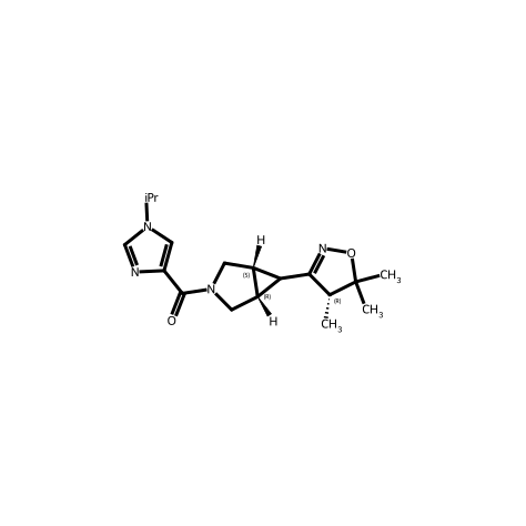 CC(C)n1cnc(C(=O)N2C[C@@H]3C(C4=NOC(C)(C)[C@@H]4C)[C@@H]3C2)c1